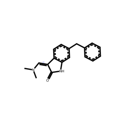 CN(C)/C=C1\C(=O)Nc2cc(Cc3ccccc3)ccc21